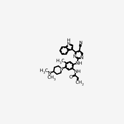 C=CC(=O)Nc1cc(N2CCC(N(C)C)CC2)c(C)cc1Nc1ncc(C#N)c(-c2c[nH]c3ccccc23)n1